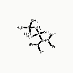 CC(C)N(C(C)C)[SiH](N(C(C)C)C(C)C)[Si]([SiH3])([SiH3])[SiH2][Si]([SiH3])([SiH3])[SiH3]